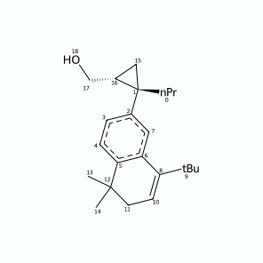 CCC[C@]1(c2ccc3c(c2)C(C(C)(C)C)=CCC3(C)C)C[C@H]1CO